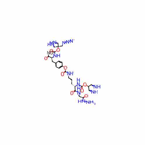 [N-]=[N+]=NCC(C=N)(C=N)OC(=O)N[C@@H](Cc1ccc(OC(=O)NCCC[C@H](NC(=O)OC(C=N)C=N)C(=O)NCC(=O)NN)cc1)C(=O)N=O